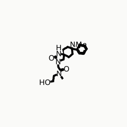 CN[C@]1(c2ccccc2)CC[C@@]2(CC1)CN(CC(=O)N(C)CCO)C(=O)N2